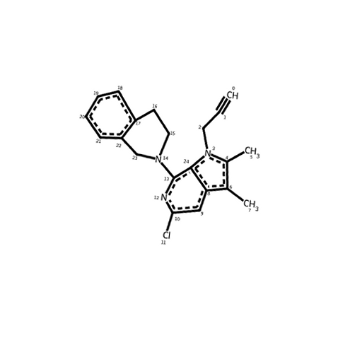 C#CCn1c(C)c(C)c2cc(Cl)nc(N3CCc4ccccc4C3)c21